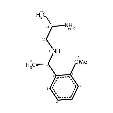 COc1ccccc1[C@H](C)NC[C@H](C)N